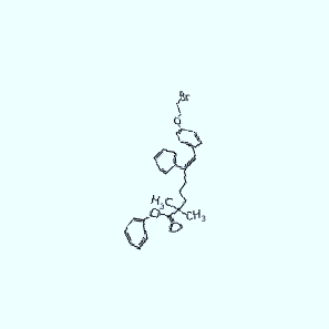 CC(C)(CCCC(=Cc1ccc(OCCBr)cc1)c1ccccc1)C(=O)Oc1ccccc1